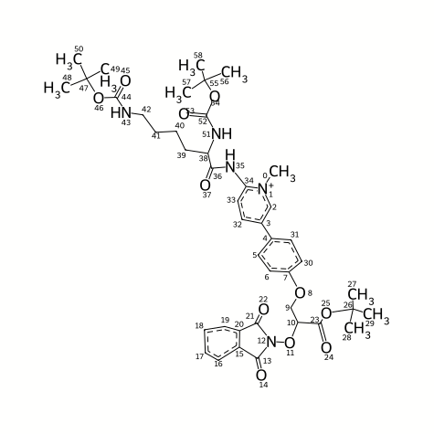 C[n+]1cc(-c2ccc(OCC(ON3C(=O)c4ccccc4C3=O)C(=O)OC(C)(C)C)cc2)ccc1NC(=O)C(CCCCNC(=O)OC(C)(C)C)NC(=O)OC(C)(C)C